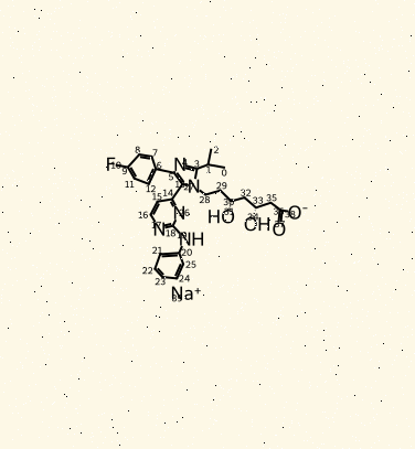 CC(C)c1nc(-c2ccc(F)cc2)c(-c2ccnc(Nc3ccccc3)n2)n1CC[C@@H](O)C[C@@H](O)CC(=O)[O-].[Na+]